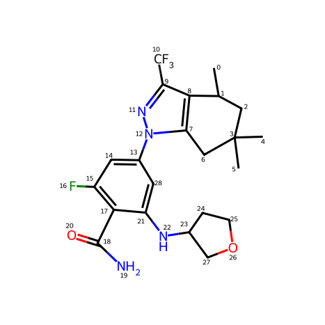 CC1CC(C)(C)Cc2c1c(C(F)(F)F)nn2-c1cc(F)c(C(N)=O)c(NC2CCOC2)c1